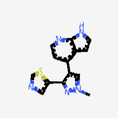 Cn1cc(-c2ccnc3[nH]ccc23)c(-c2cncs2)n1